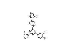 CC1CCCN1c1nc(-c2ccc(F)c(Cl)c2)cc(N2CCN(c3nscc3Cl)CC2)n1